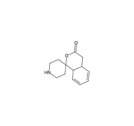 O=C1CC2C=CC=CC2C2(CCNCC2)O1